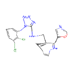 Clc1cccc(-n2nnnc2NCc2cccnc2-c2cnco2)c1Cl